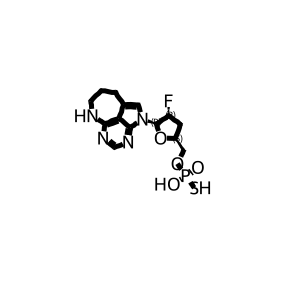 O=P(O)(S)OC[C@@H]1C[C@@H](F)[C@H](n2cc3c4c(ncnc42)NCCC3)O1